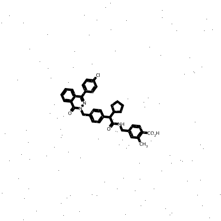 Cc1cc(CNC(=O)C(c2ccc(Cn3nc(-c4ccc(Cl)cc4)c4ccccc4c3=O)cc2)C2CCCC2)ccc1C(=O)O